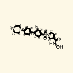 CN1CCN(c2ccc(-c3ccc(S(=O)(=O)N4CC=C(C(=O)NO)C4)cc3F)cc2)CC1